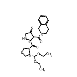 CCOC(OCC)[C@@H]1CSCN1C(=O)[C@H]1NCC(=S)C1C(=O)[C@H]1CCc2ccccc2C1